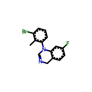 Cc1c(Br)cccc1N1C=NCc2ccc(F)cc21